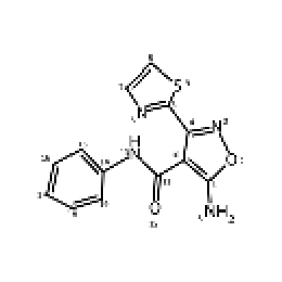 Nc1onc(-c2nccs2)c1C(=O)Nc1ccccc1